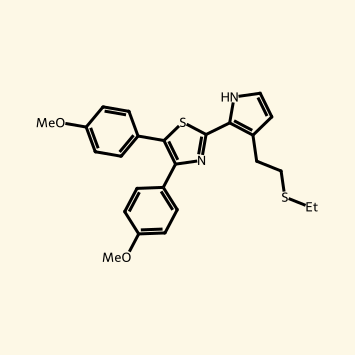 CCSCCc1cc[nH]c1-c1nc(-c2ccc(OC)cc2)c(-c2ccc(OC)cc2)s1